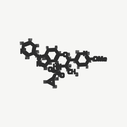 COc1ccc(C(Oc2ccc3c(cnn3-c3cccnc3)c2)C(C)NS(=O)(=O)C2CC2)cn1